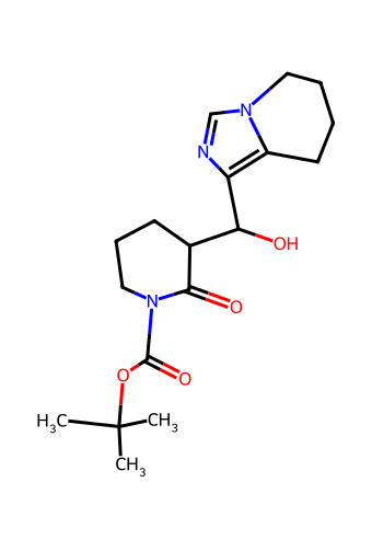 CC(C)(C)OC(=O)N1CCCC(C(O)c2ncn3c2CCCC3)C1=O